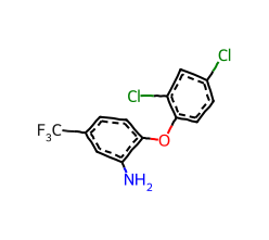 Nc1cc(C(F)(F)F)ccc1Oc1ccc(Cl)cc1Cl